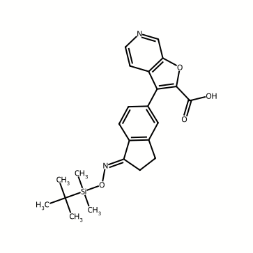 CC(C)(C)[Si](C)(C)ON=C1CCc2cc(-c3c(C(=O)O)oc4cnccc34)ccc21